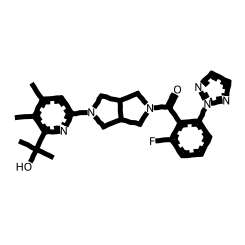 Cc1cc(N2CC3CN(C(=O)c4c(F)cccc4-n4nccn4)CC3C2)nc(C(C)(C)O)c1C